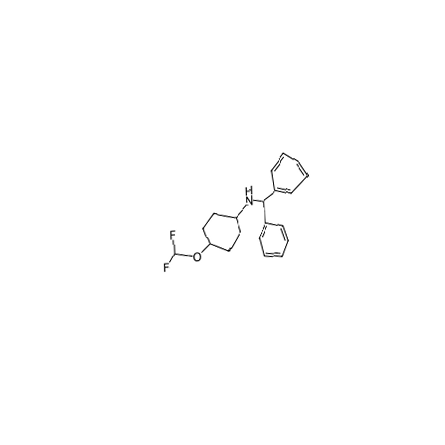 FC(F)OC1CCC(NC(c2ccccc2)c2ccccc2)CC1